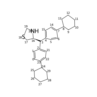 c1cc(C(c2ccc(C3CCCCC3)cc2)[C@H]2CSCN2)ccc1C1CCCCC1